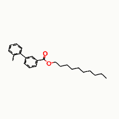 CCCCCCCCCCOC(=O)c1cccc(-c2ccccc2C)c1